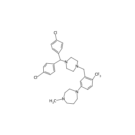 CN1CCCN(c2ccc(C(F)(F)F)c(CN3CCN(C(c4ccc(Cl)cc4)c4ccc(Cl)cc4)CC3)c2)CC1